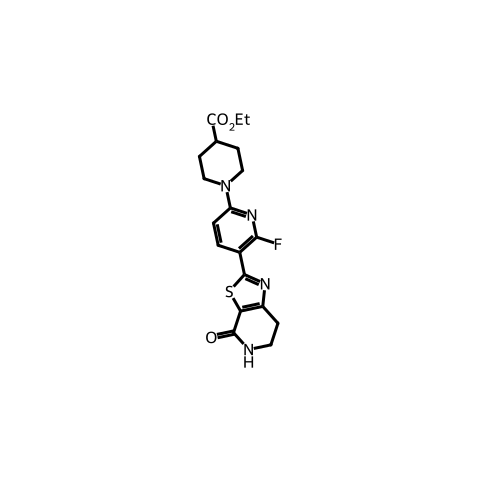 CCOC(=O)C1CCN(c2ccc(-c3nc4c(s3)C(=O)NCC4)c(F)n2)CC1